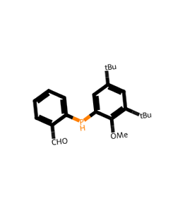 COc1c(Pc2ccccc2C=O)cc(C(C)(C)C)cc1C(C)(C)C